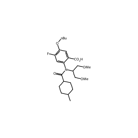 CCCCOc1cc(C(=O)O)c(N(C(=O)C2CCC(C)CC2)C(COC)COC)cc1F